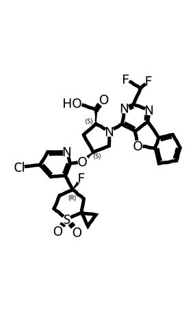 O=C(O)[C@@H]1C[C@H](Oc2ncc(Cl)cc2[C@@]2(F)CCS(=O)(=O)C3(CC3)C2)CN1c1nc(C(F)F)nc2c1oc1ccccc12